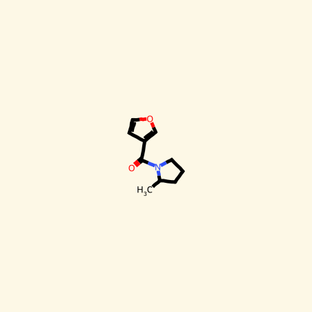 CC1CCCN1C(=O)c1ccoc1